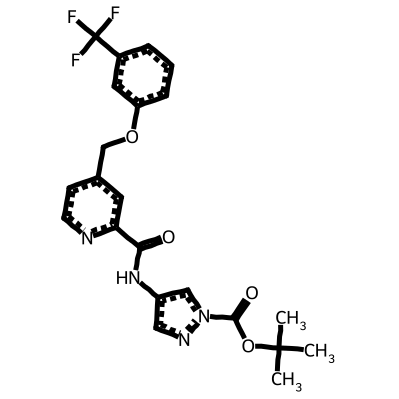 CC(C)(C)OC(=O)n1cc(NC(=O)c2cc(COc3cccc(C(F)(F)F)c3)ccn2)cn1